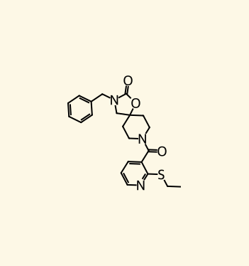 CCSc1ncccc1C(=O)N1CCC2(CC1)CN(Cc1ccccc1)C(=O)O2